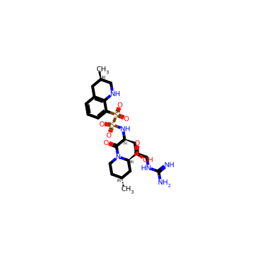 C[C@@H]1CCN(C(=O)[C@H](CCCNC(=N)N)NS(=O)(=O)S(=O)(=O)c2cccc3c2NC[C@H](C)C3)[C@@H](C(=O)O)C1